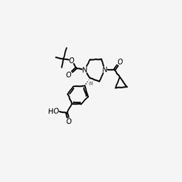 CC(C)(C)OC(=O)N1CCN(C(=O)C2CC2)C[C@@H]1c1ccc(C(=O)O)cc1